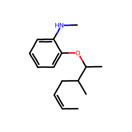 C/C=C\CC(C)C(C)Oc1ccccc1NC